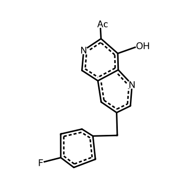 CC(=O)c1ncc2cc(Cc3ccc(F)cc3)cnc2c1O